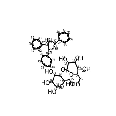 OC[C@H]1O[C@@H](O[C@H]2[C@H](O)[C@@H](O)[C@@H](O)O[C@@H]2CO)[C@H](O)[C@@H](O)[C@H]1O.c1ccc(C2=NN(c3ccccc3)N(c3ccccc3)N2)cc1